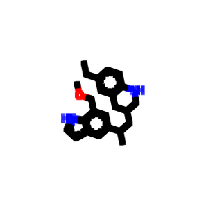 CCc1ccc2c(c1)CC(CC(C)c1cc(COC)c3[nH]ccc3c1)CN2